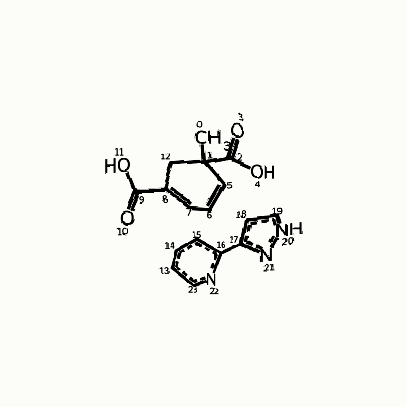 CC1(C(=O)O)C=CC=C(C(=O)O)C1.c1ccc(-c2cc[nH]n2)nc1